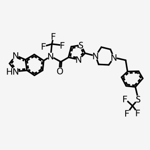 O=C(c1csc(N2CCN(Cc3ccc(SC(F)(F)F)cc3)CC2)n1)N(c1ccc2[nH]cnc2c1)C(F)(F)F